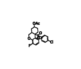 CC(=O)OC1CCC2(S(=O)(=O)c3ccc(Cl)cc3)c3c(F)ccc(F)c3OCC2C1